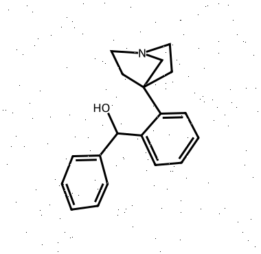 OC(c1ccccc1)c1ccccc1C12CCN(CC1)C2